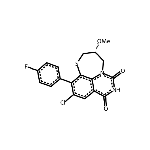 CO[C@H]1CSc2c(-c3ccc(F)cc3)c(Cl)cc3c(=O)[nH]c(=O)n(c23)C1